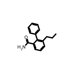 CCCc1cccc(C(N)=O)c1-c1ccccc1